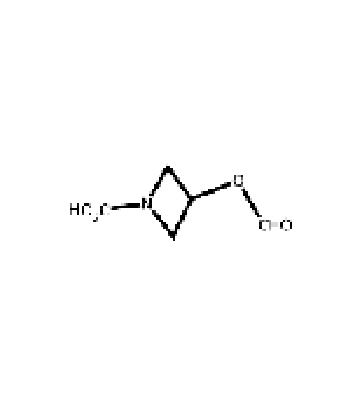 O=COC1CN(C(=O)O)C1